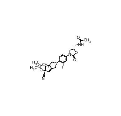 CC(=O)NC[C@H]1CN(c2ccc(N3CC4=CC(C#N)(O[Si](C)(C)C)CC4C3)c(F)c2)C(=O)O1